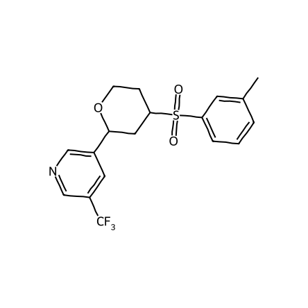 Cc1cccc(S(=O)(=O)C2CCOC(c3cncc(C(F)(F)F)c3)C2)c1